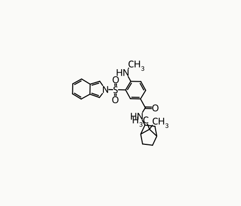 CNc1ccc(C(=O)NC2CC3CCC2C3(C)C)cc1S(=O)(=O)n1cc2ccccc2c1